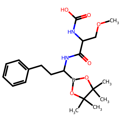 COCC(NC(=O)O)C(=O)NC(CCc1ccccc1)B1OC(C)(C)C(C)(C)O1